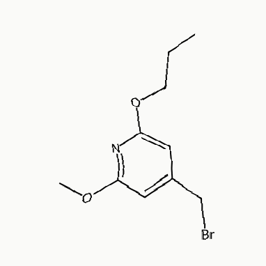 CCCOc1cc(CBr)cc(OC)n1